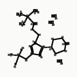 CC(C)(C)NCCn1cc(CC(F)(F)F)nc1C1CCNCC1.Cl.Cl.Cl